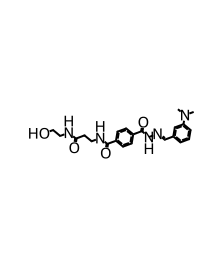 CN(C)c1cccc(/C=N/NC(=O)c2ccc(C(=O)NCCC(=O)NCCO)cc2)c1